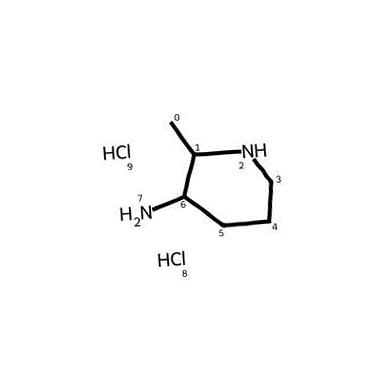 CC1NCCCC1N.Cl.Cl